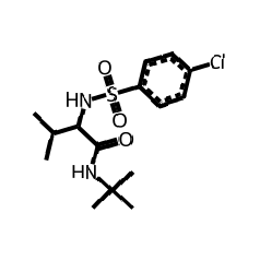 CC(C)C(NS(=O)(=O)c1ccc(Cl)cc1)C(=O)NC(C)(C)C